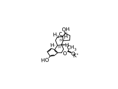 CC(=O)[O-].C[C@]12CC[C@@H]3c4ccc(O)cc4CC[C@H]3[C@@H]1CC[C@@H]2O.[K+]